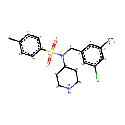 Cc1ccc(S(=O)(=O)N(Cc2cc(Cl)cc(C(F)(F)F)c2)C2CCNCC2)cc1